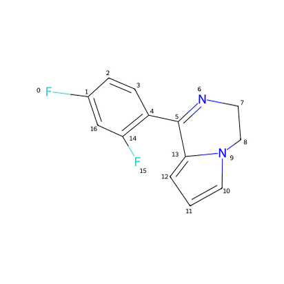 Fc1ccc(C2=NCCn3cccc32)c(F)c1